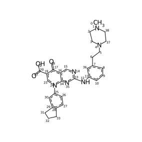 CN1CCN(CCc2cccc(Nc3ncc4c(=O)c(C(=O)O)cn(-c5ccc6c(c5)CCC6)c4n3)c2)CC1